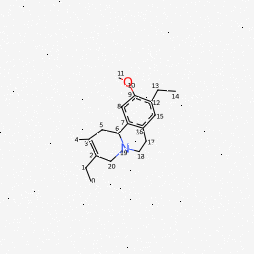 CCC1=C(C)CC2c3cc(OC)c(CC)cc3CCN2C1